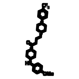 COc1ccc(NC2CCN(C(=O)CCCN3CCN(c4ccc(C(F)(F)F)cc4)CC3)CC2)cc1